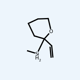 C=CC1([SiH2]C)CCCCO1